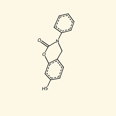 O=C1Oc2cc(S)ccc2CN1c1ccccc1